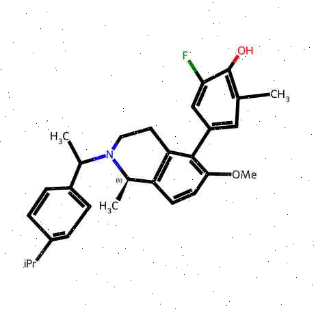 COc1ccc2c(c1-c1cc(C)c(O)c(F)c1)CCN(C(C)c1ccc(C(C)C)cc1)[C@@H]2C